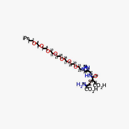 CC(C)CCOCCOCCOCCOCCOCCOCCOCCn1cc(CNC(=O)C(CC(=O)O)SCC(N)C(=O)O)nn1